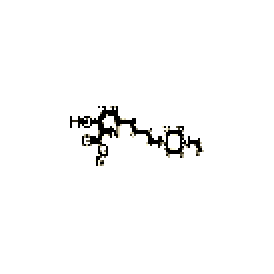 CCN1CCN(CCCCc2ccc(O)c(C(=O)OC)n2)CC1